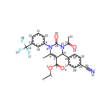 CCOC(=O)C1=C(C)N(c2cccc(C(F)(F)F)c2)C(=O)N(C(C)=O)C1c1ccc(C#N)cc1